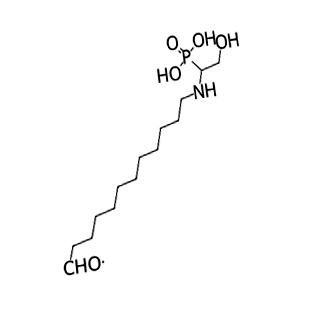 O=[C]CCCCCCCCCCCNC(CO)P(=O)(O)O